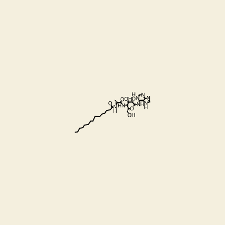 CCCCCCCCCCCCCCC(=O)N[C@@H](C)C(=O)N[C@@H]1[C@@H](O)[C@H](O)[C@@H](Nc2ncnc3nc[nH]c23)O[C@H]1CO